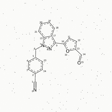 N#Cc1ccc(Cn2nc(-c3ccc(C=O)o3)c3ccccc32)cc1